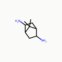 CC1(C)C2CC(N)C1CC2N